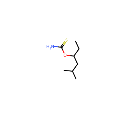 CCC(CC(C)C)OC(N)=S